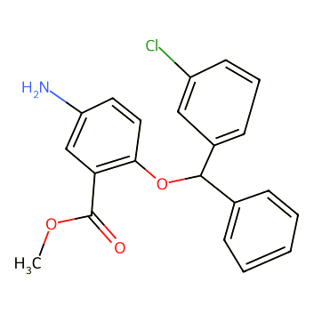 COC(=O)c1cc(N)ccc1OC(c1ccccc1)c1cccc(Cl)c1